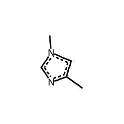 Cc1[c]n(C)cn1